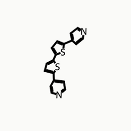 c1cc(-c2ccc(-c3ccc(-c4ccncc4)s3)s2)ccn1